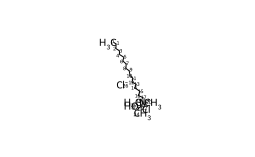 CCCCCCCCCCCCCCCCCC[N+](C)(C)C(Cl)C(C)O.[Cl-]